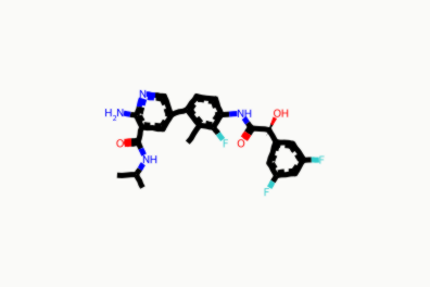 Cc1c(-c2cnc(N)c(C(=O)NC(C)C)c2)ccc(NC(=O)[C@@H](O)c2cc(F)cc(F)c2)c1F